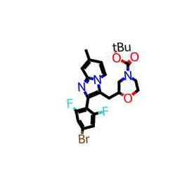 Cc1ccn2c(CC3CN(C(=O)OC(C)(C)C)CCO3)c(-c3c(F)cc(Br)cc3F)nc2c1